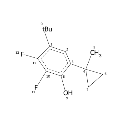 CC(C)(C)c1cc(C2(C)CC2)c(O)c(F)c1F